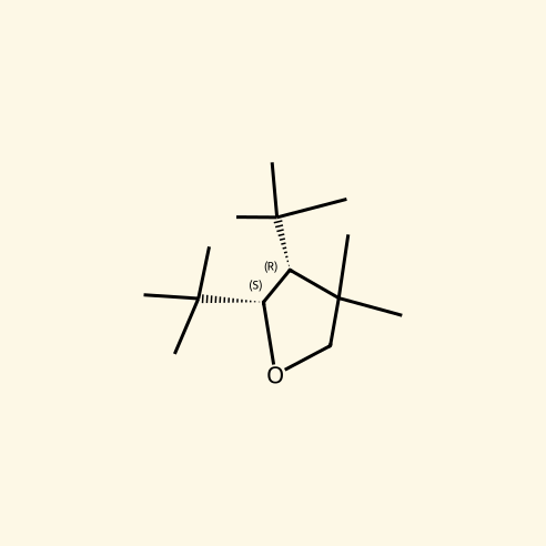 CC(C)(C)[C@H]1[C@@H](C(C)(C)C)OCC1(C)C